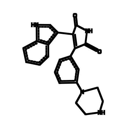 O=C1NC(=O)C(c2c[nH]c3ccccc23)=C1c1cccc(N2CCNCC2)c1